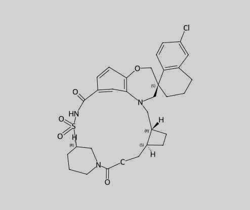 O=C1NS(=O)(=O)[C@@H]2CCCN(C2)C(=O)CC[C@@H]2CC[C@H]2CN2C[C@@]3(CCCc4cc(Cl)ccc43)COc3ccc1cc32